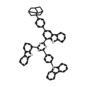 c1ccc2c(c1)oc1c(-c3nc(-c4ccc(-n5c6ccccc6c6ccccc65)cc4)nc(-c4cc(-c5ccc(C67CC8CC(CC(C8)C6)C7)cc5)cc5c4oc4ccccc45)n3)cccc12